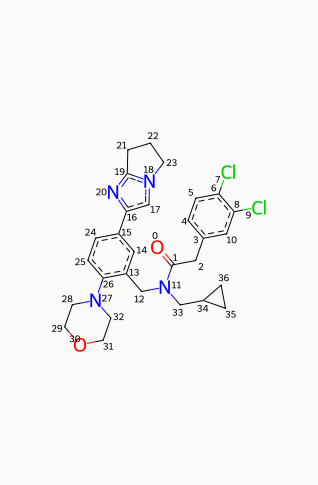 O=C(Cc1ccc(Cl)c(Cl)c1)N(Cc1cc(-c2cn3c(n2)CCC3)ccc1N1CCOCC1)CC1CC1